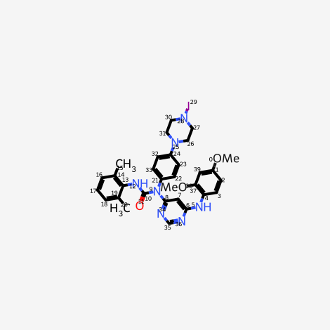 COc1ccc(Nc2cc(N(C(=O)Nc3c(C)cccc3C)c3ccc(N4CCN(I)CC4)cc3)ncn2)c(OC)c1